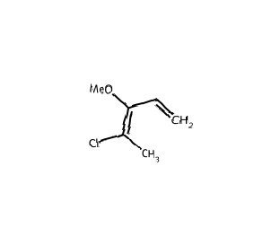 C=C/C(OC)=C(\C)Cl